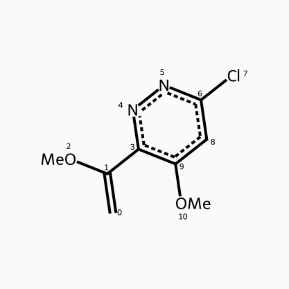 C=C(OC)c1nnc(Cl)cc1OC